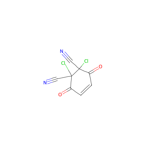 N#CC1(Cl)C(=O)C=CC(=O)C1(Cl)C#N